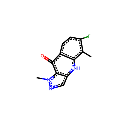 Cc1c(F)ccc2c(=O)c3c(cnn3C)[nH]c12